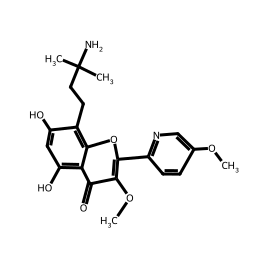 COc1ccc(-c2oc3c(CCC(C)(C)N)c(O)cc(O)c3c(=O)c2OC)nc1